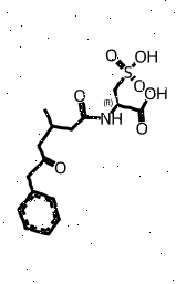 CC(CC(=O)Cc1ccccc1)CC(=O)N[C@@H](CS(=O)(=O)O)C(=O)O